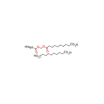 CCCCCCCC(=O)OCOC(=O)CCCCCCCCC(=O)O.O=C(O)CCCCCCCCC(=O)O